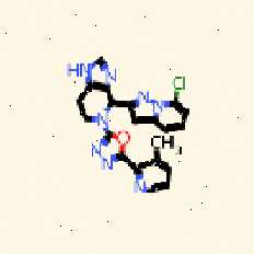 Cc1cccnc1-c1nnc(N2CCc3[nH]cnc3C2c2cc3cccc(Cl)n3n2)o1